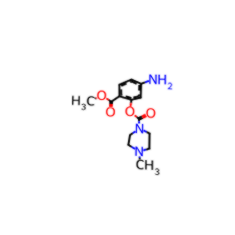 COC(=O)c1ccc(N)cc1OC(=O)N1CCN(C)CC1